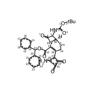 CC(C)(C)OC(=O)NC1C(=O)N2C(C(=O)OC(c3ccccc3)c3ccccc3)=C(c3c(N)c(=O)c3=O)CS[C@H]12